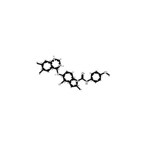 COc1ccc(NC(=O)n2c(C)cc3c(F)c(Oc4ncnc5cc(C)c(C)cc45)ccc32)cc1